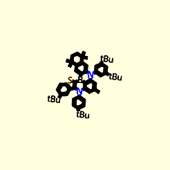 Cc1cc2c3c(c1)N(c1ccc(C(C)(C)C)cc1)c1c(sc4ccc(C(C)(C)C)cc14)B3c1cc3c(cc1N2c1cc(C(C)(C)C)cc(C(C)(C)C)c1)C(C)(C)CCC3(C)C